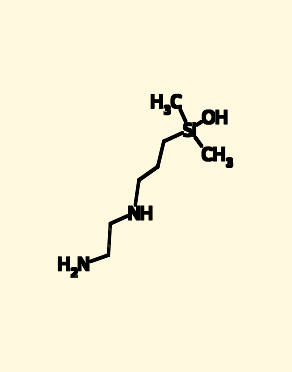 C[Si](C)(O)CCCNCCN